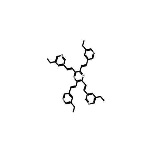 CCc1cncc(C=Cc2nc(C=Cc3cncc(CC)c3)c(C=Cc3cncc(CC)c3)nc2C=Cc2cncc(CC)c2)c1